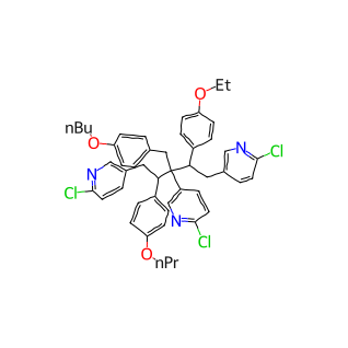 CCCCOc1ccc(CC(c2ccc(Cl)nc2)(C(Cc2ccc(Cl)nc2)c2ccc(OCC)cc2)C(Cc2ccc(Cl)nc2)c2ccc(OCCC)cc2)cc1